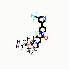 CCC(CC(C(=O)N1CC=C(c2cncc(C(F)(F)F)c2)CC1)C(C)C)NC(=O)OC(C)(C)C